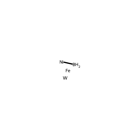 [BH2][Ni].[Fe].[W]